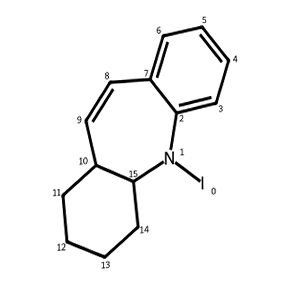 IN1c2ccccc2C=CC2CCCCC21